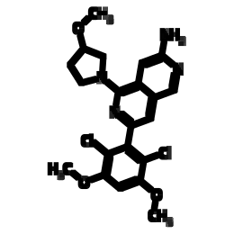 COc1cc(OC)c(Cl)c(-c2cc3cnc(N)cc3c(N3CCC(OC)C3)n2)c1Cl